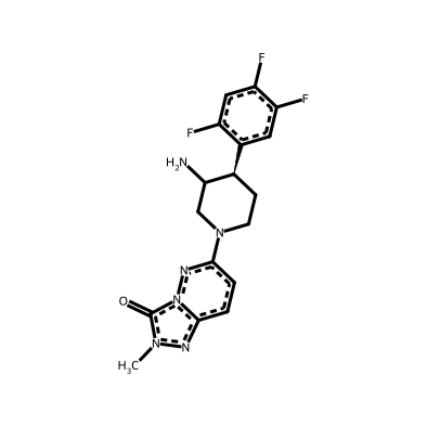 Cn1nc2ccc(N3CC[C@H](c4cc(F)c(F)cc4F)C(N)C3)nn2c1=O